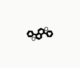 c1ccc2c(c1)oc1ccc3c(ccc4oc5ccccc5c43)c12